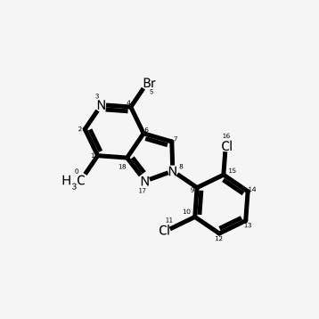 Cc1cnc(Br)c2cn(-c3c(Cl)cccc3Cl)nc12